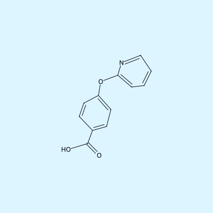 O=C(O)c1ccc(Oc2ccccn2)cc1